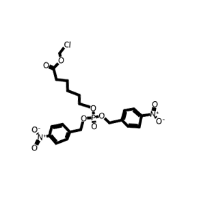 O=C(CCCCCOP(=O)(OCc1ccc([N+](=O)[O-])cc1)OCc1ccc([N+](=O)[O-])cc1)OCCl